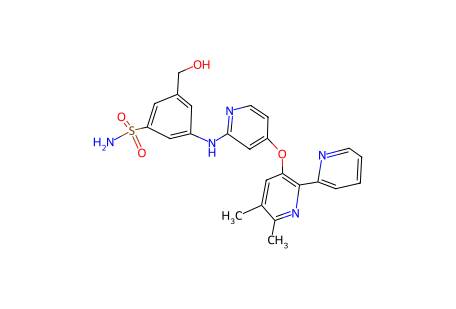 Cc1cc(Oc2ccnc(Nc3cc(CO)cc(S(N)(=O)=O)c3)c2)c(-c2ccccn2)nc1C